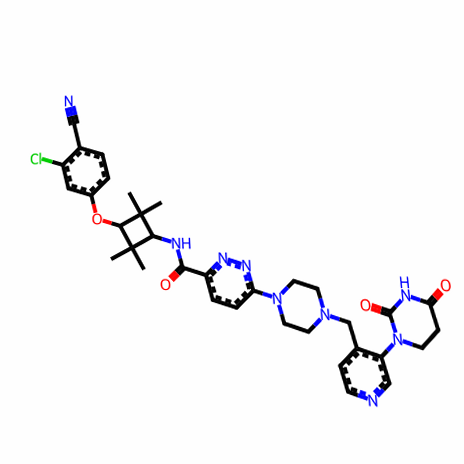 CC1(C)C(NC(=O)c2ccc(N3CCN(Cc4ccncc4N4CCC(=O)NC4=O)CC3)nn2)C(C)(C)C1Oc1ccc(C#N)c(Cl)c1